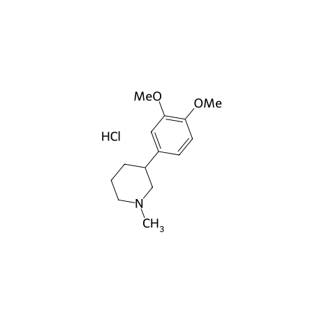 COc1ccc(C2CCCN(C)C2)cc1OC.Cl